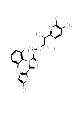 COc1cccc(OC)c1-n1c(NS(=O)(=O)[C@H](C)[C@@H](O)c2ccc(C#N)c(C)n2)nnc1-c1ccc(C)o1